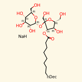 CCCCCCCCCCCCCCCCCC(=O)O[C@H]1[C@H](O)[C@@H](CO)O[C@@]1(CO)O[C@H]1O[C@H](CO)[C@@H](O)[C@H](O)[C@H]1O.[NaH]